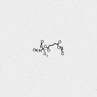 CC(N=C=O)(N=C=O)OC(=O)CCCC(=O)ON=C=O